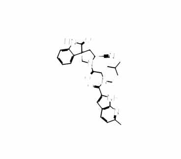 Cc1ccc2cc(C(=O)N(C)[C@@H](CC(C)C)C(=O)N3C[C@]4(C[C@H]3C#N)C(=O)Nc3ccccc34)[nH]c2n1